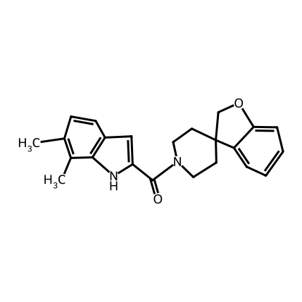 Cc1ccc2cc(C(=O)N3CCC4(CC3)COc3ccccc34)[nH]c2c1C